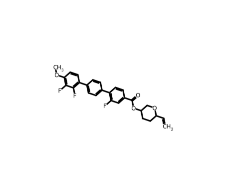 C=CC1CCC(OC(=O)c2ccc(-c3ccc(-c4ccc(OC)c(F)c4F)cc3)c(F)c2)CO1